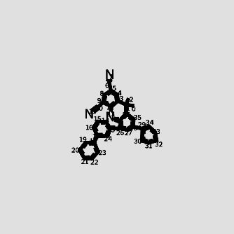 CC1(C)c2cc(C#N)cc(C#N)c2-n2c3ccc(-c4ccccc4)cc3c3cc(-c4ccccc4)cc1c32